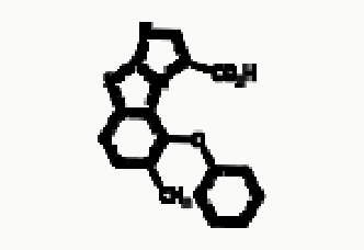 Cc1ccc2sc3ncc(C(=O)O)n3c2c1Oc1ccccc1